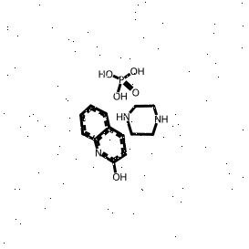 C1CNCCN1.O=P(O)(O)O.Oc1ccc2ccccc2n1